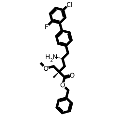 COC[C@](C)(C[C@H](N)Cc1ccc(-c2cc(Cl)ccc2F)cc1)C(=O)OCc1ccccc1